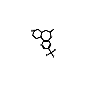 CC1CC2CNCCN2c2ncc(C(F)(F)F)cc2O1